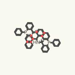 O=C(NC(c1ccccc1)C(NC(=O)c1ccccc1P(c1ccccc1)c1ccccc1)c1ccccc1)c1ccccc1P(c1ccccc1)c1ccccc1